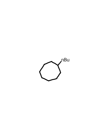 CCCCC1C[CH]CCCCC1